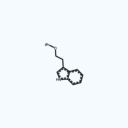 CC(C)OCCc1c[nH]c2ccccc12